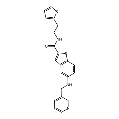 O=C(NCCc1cccs1)c1cc2cc(NCc3cccnc3)ccc2s1